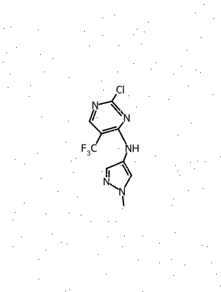 Cn1cc(Nc2nc(Cl)ncc2C(F)(F)F)cn1